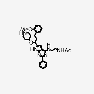 COc1ccccc1CCC(OC1CCNCC1)c1cc2c(NCCNC(C)=O)nc(-c3ccccc3)nc2[nH]1